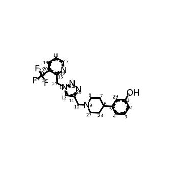 Oc1cccc(C2CCN(Cc3cn(Cc4ncccc4C(F)(F)F)nn3)CC2)c1